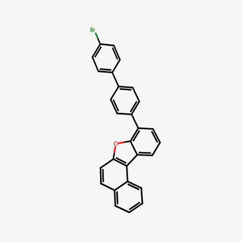 Brc1ccc(-c2ccc(-c3cccc4c3oc3ccc5ccccc5c34)cc2)cc1